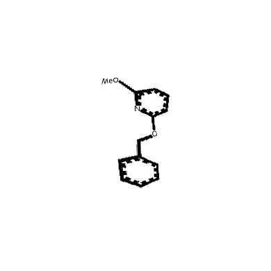 COc1cccc(OCc2ccccc2)n1